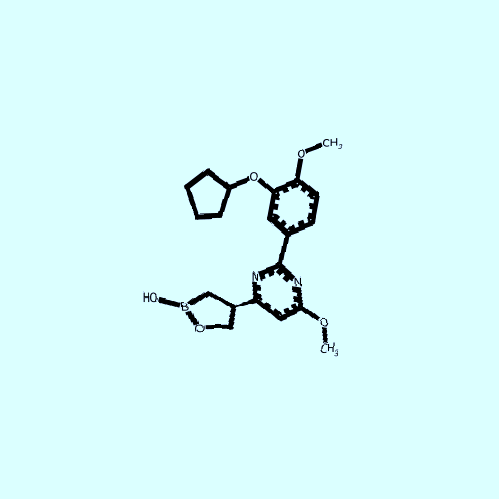 COc1cc([C@H]2COB(O)C2)nc(-c2ccc(OC)c(OC3CCCC3)c2)n1